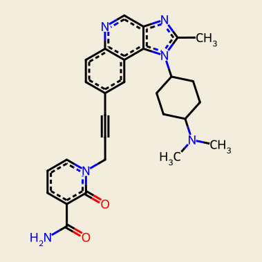 Cc1nc2cnc3ccc(C#CCn4cccc(C(N)=O)c4=O)cc3c2n1C1CCC(N(C)C)CC1